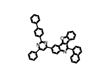 c1ccc(-c2ccc(-c3nc(-c4ccccc4)cc(-c4ccc5nc(-c6cccc7ccccc67)c6c7ccccc7oc6c5c4)n3)cc2)cc1